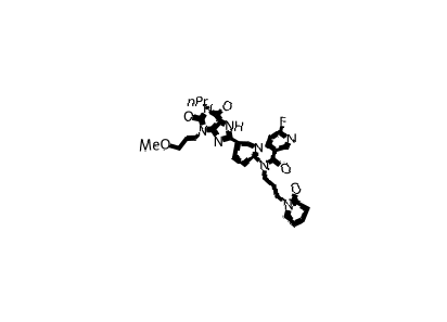 CCCn1c(=O)c2[nH]c(-c3ccc(N(CCCn4ccccc4=O)C(=O)c4ccc(F)nc4)nc3)nc2n(CCCOC)c1=O